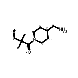 CC(C)CC(C)(C)C(=O)N1CCC(CN)CC1